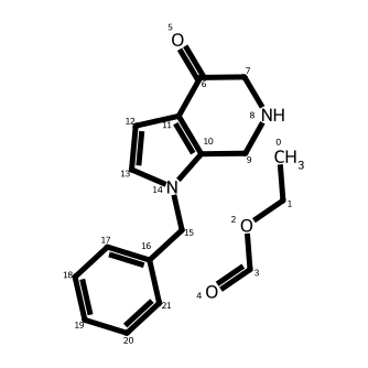 CCOC=O.O=C1CNCc2c1ccn2Cc1ccccc1